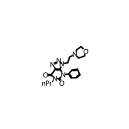 CCCn1c(=O)c2nnn(CCN3CCOCC3)c2n(-c2ccccc2)c1=O